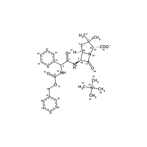 CC1(C)S[C@@H]2[C@H](NC(=O)C(NC(=O)OCc3ccccc3)c3ccccc3)C(=O)N2[C@H]1C(=O)[O-].C[N+](C)(C)C